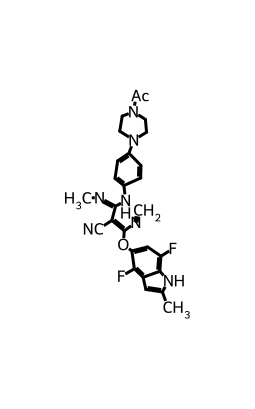 C=N/C(Oc1cc(F)c2[nH]c(C)cc2c1F)=C(C#N)\C(=N/C)Nc1ccc(N2CCN(C(C)=O)CC2)cc1